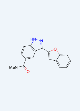 CNC(=O)c1ccc2[nH]nc(-c3cc4ccccc4o3)c2c1